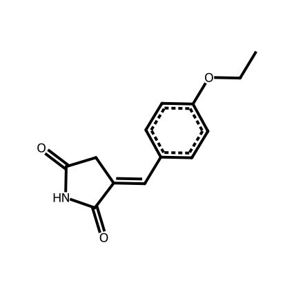 CCOc1ccc(/C=C2\CC(=O)NC2=O)cc1